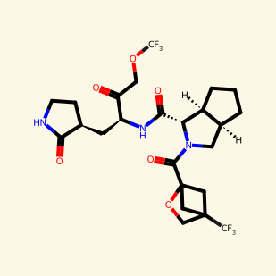 O=C1NCC[C@H]1C[C@H](NC(=O)[C@@H]1[C@H]2CCC[C@H]2CN1C(=O)C12CC(C(F)(F)F)(CO1)C2)C(=O)COC(F)(F)F